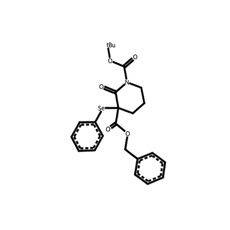 CC(C)(C)OC(=O)N1CCCC([Se]c2ccccc2)(C(=O)OCc2ccccc2)C1=O